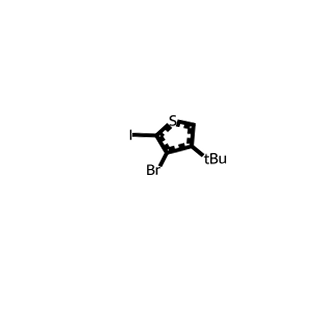 CC(C)(C)c1csc(I)c1Br